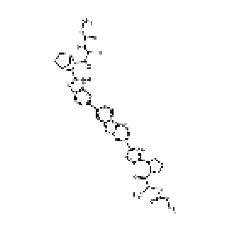 COC(=O)NC(C)C(=O)N1CCCC1c1ncc(-c2ccc3c(c2)sc2cc(-c4ccc5nc(C6C7CCC(C7)N6C(=O)C(C)NC(=O)OC)[nH]c5c4)ccc23)[nH]1